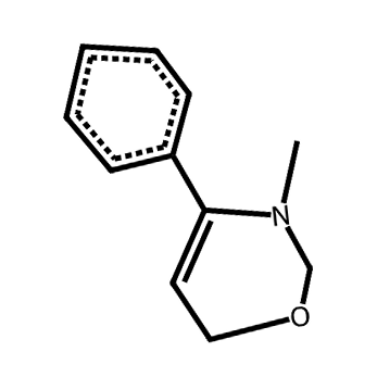 CN1COCC=C1c1ccccc1